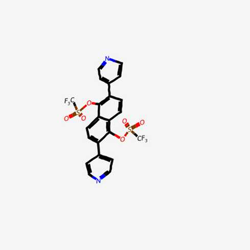 O=S(=O)(Oc1c(-c2ccncc2)ccc2c(OS(=O)(=O)C(F)(F)F)c(-c3ccncc3)ccc12)C(F)(F)F